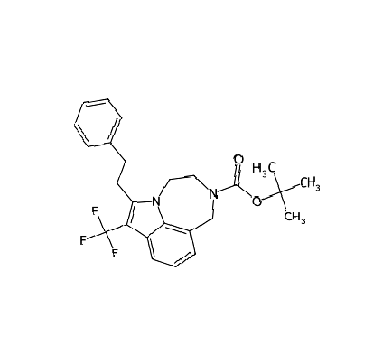 CC(C)(C)OC(=O)N1CCn2c(CCc3ccccc3)c(C(F)(F)F)c3cccc(c32)C1